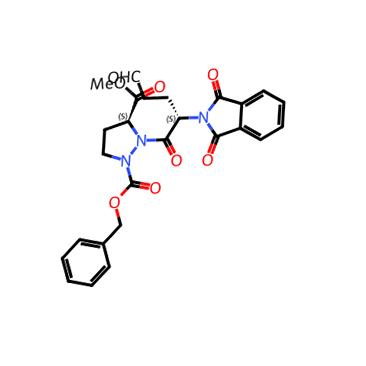 COC(=O)[C@@H]1CCN(C(=O)OCc2ccccc2)N1C(=O)[C@H](CCC=O)N1C(=O)c2ccccc2C1=O